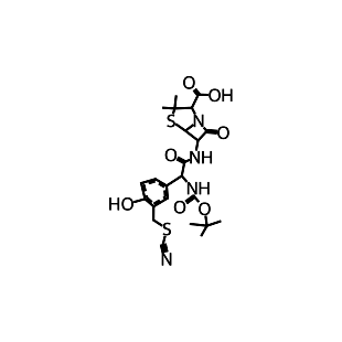 CC(C)(C)OC(=O)NC(C(=O)NC1C(=O)N2C1SC(C)(C)C2C(=O)O)c1ccc(O)c(CSC#N)c1